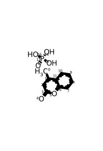 Cc1cc(=O)oc2ccccc12.O=P(O)(O)O